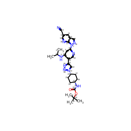 CC(C)Nc1cc(-n2ncc3cc(C#N)cnc32)ncc1-c1cn([C@H]2CC[C@H](NC(=O)OC(C)(C)C)CC2)nn1